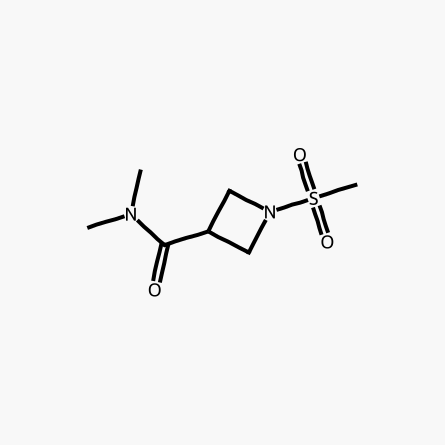 CN(C)C(=O)C1CN(S(C)(=O)=O)C1